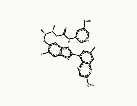 COc1cncc(NC(=O)O[C@H](C)[C@H](C)Oc2cc3sc(-c4cc(C)cc5nc(OC)cnc45)nc3cc2F)c1